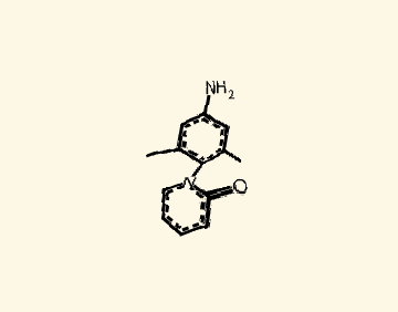 Cc1cc(N)cc(C)c1-n1ccccc1=O